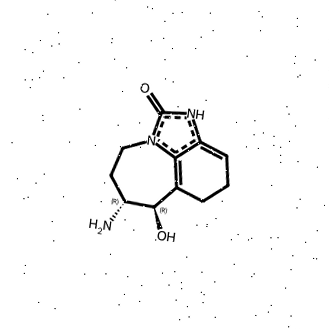 N[C@@H]1CCn2c(=O)[nH]c3c2=C(CCC=3)[C@H]1O